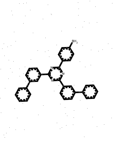 Bc1ccc(-c2nc(-c3cccc(-c4ccccc4)c3)nc(-c3cccc(-c4ccccc4)c3)n2)cc1